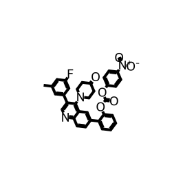 Cc1cc(F)cc(-c2cnc3ccc(-c4ccccc4OC(=O)Oc4ccc([N+](=O)[O-])cc4)cc3c2N2CCC(=O)CC2)c1